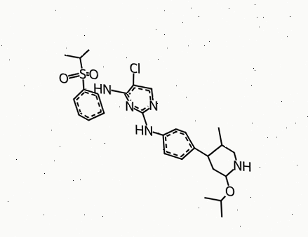 CC(C)OC1CC(c2ccc(Nc3ncc(Cl)c(Nc4ccccc4S(=O)(=O)C(C)C)n3)cc2)C(C)CN1